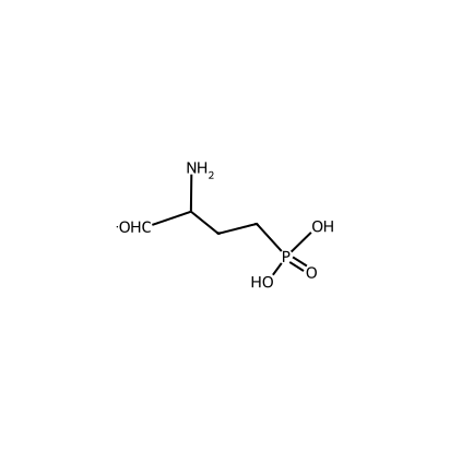 NC([C]=O)CCP(=O)(O)O